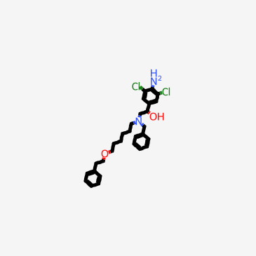 Nc1c(Cl)cc(C(O)CN(CCCCCCOCCc2ccccc2)Cc2ccccc2)cc1Cl